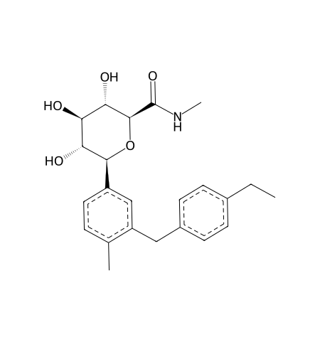 CCc1ccc(Cc2cc([C@@H]3O[C@H](C(=O)NC)[C@@H](O)[C@H](O)[C@H]3O)ccc2C)cc1